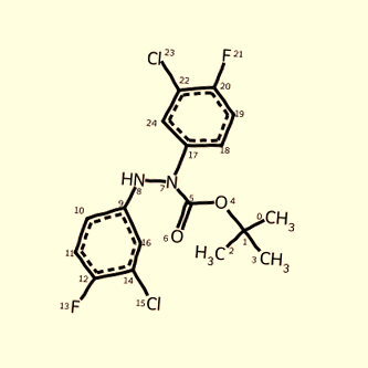 CC(C)(C)OC(=O)N(Nc1ccc(F)c(Cl)c1)c1ccc(F)c(Cl)c1